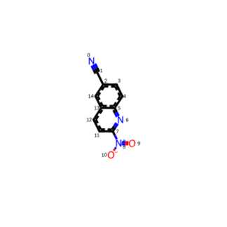 N#Cc1ccc2nc([N+](=O)[O-])ccc2c1